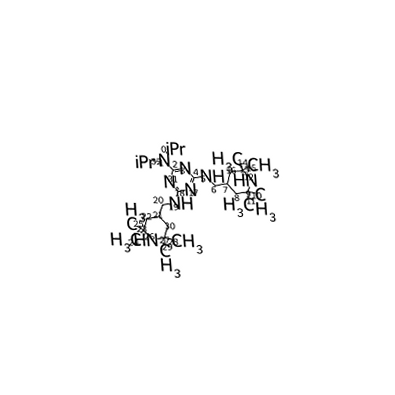 CC(C)N(c1nc(NCC2CC(C)(C)NC(C)(C)C2)nc(NCC2CC(C)(C)NC(C)(C)C2)n1)C(C)C